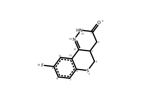 O=C1CC2CSc3ccc(F)cc3C2=NN1